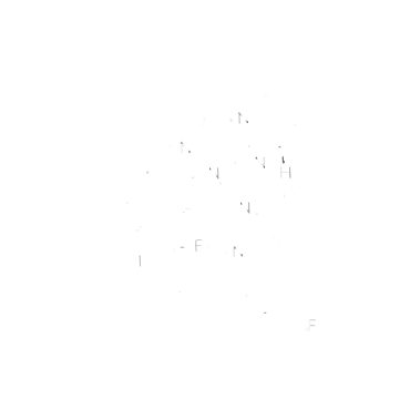 O=C(Nc1nc2ccc(F)cc2s1)N1c2nc(-c3cccc(C(F)(F)F)c3)ncc2N2CC[C@H]1C2